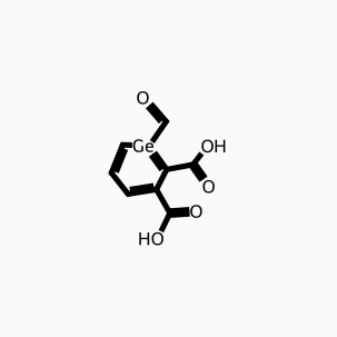 O=[CH][Ge]1=[C](C(=O)O)C(C(=O)O)=CC=[CH]1